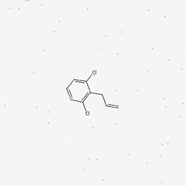 C=CCc1c(Cl)cccc1Cl